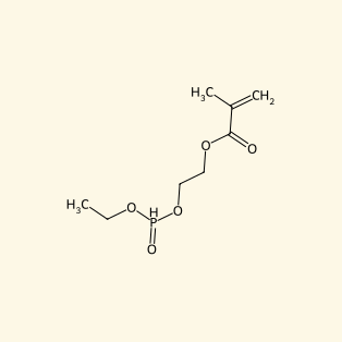 C=C(C)C(=O)OCCO[PH](=O)OCC